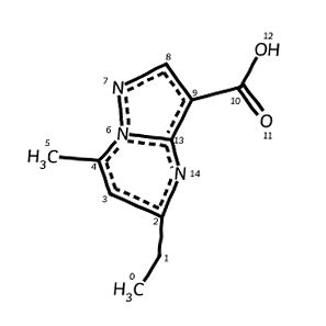 CCc1cc(C)n2ncc(C(=O)O)c2n1